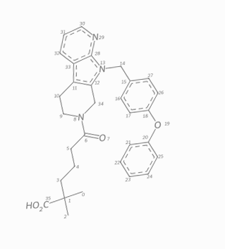 CC(C)(CCCC(=O)N1CCc2c(n(Cc3ccc(Oc4ccccc4)cc3)c3ncccc23)C1)C(=O)O